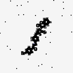 O=C(/C=C/c1ccc(C=C2CN(C(Cc3ccccc3)C(=O)O)C(=S)S2)cc1)c1ccc(Br)cc1